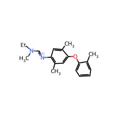 CCN(C)/C=N/c1cc(C)c(Oc2ccccc2C)cc1C